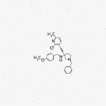 COc1ccc(CNC2(C#Cc3ccc(C)nc3Cl)CCN(Cc3ccccc3)C2)cc1